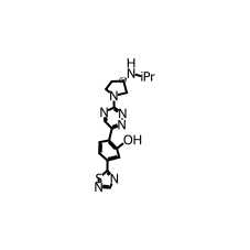 CC(C)N[C@H]1CCN(c2ncc(-c3ccc(-c4ncns4)cc3O)nn2)C1